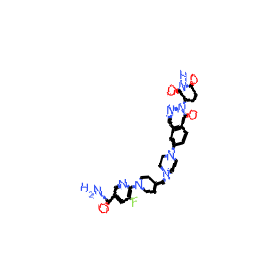 NC(=O)c1cnc(N2CCC(CN3CCN(c4ccc5c(=O)n(C6CCC(=O)NC6=O)ncc5c4)CC3)CC2)c(F)c1